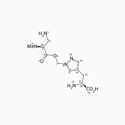 CN[C@@H](CN)C(=O)OCn1cc(C[C@H](N)C(=O)O)cn1